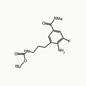 CNC(=O)c1cc(F)c(N)c(CCCNC(=O)OC(C)(C)C)c1